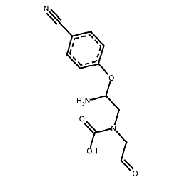 N#Cc1ccc(OC(N)CN(CC=O)C(=O)O)cc1